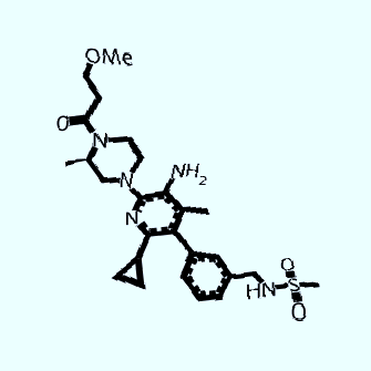 COCCC(=O)N1CCN(c2nc(C3CC3)c(-c3cccc(CNS(C)(=O)=O)c3)c(C)c2N)C[C@H]1C